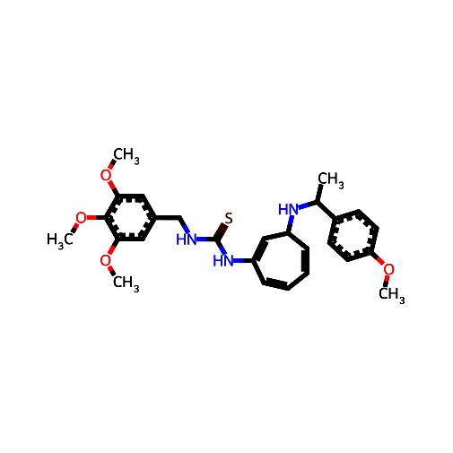 COc1ccc(C(C)NC2C=CC=CC(NC(=S)NCc3cc(OC)c(OC)c(OC)c3)=C2)cc1